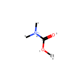 CCOC(=O)[N+](C)C